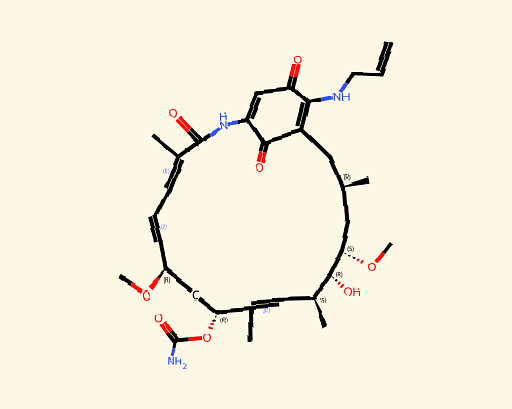 C=CCNC1=C2C[C@@H](C)C[C@H](OC)[C@H](O)[C@@H](C)/C=C(\C)[C@H](OC(N)=O)C[C@@H](OC)/C=C\C=C(/C)C(=O)NC(=CC1=O)C2=O